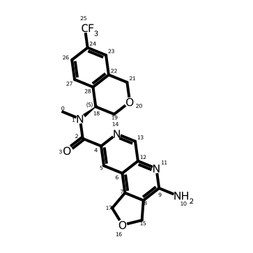 CN(C(=O)c1cc2c3c(c(N)nc2cn1)COC3)[C@@H]1COCc2cc(C(F)(F)F)ccc21